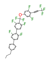 CCCc1ccc(-c2cc(F)c(-c3cc(F)c(C(F)(F)Oc4cc(F)c(C#CC(F)(F)F)c(F)c4)c(F)c3)c(F)c2)cc1